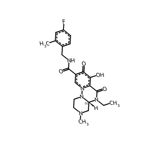 CCN1C(=O)c2c(O)c(=O)c(C(=O)NCc3ccc(F)cc3C)cn2N2CCN(C)C[C@@H]12